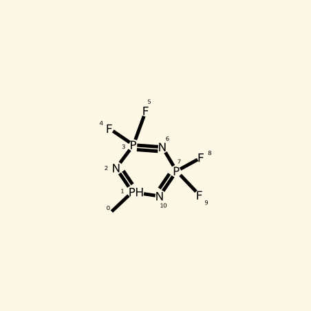 C[PH]1=NP(F)(F)=NP(F)(F)=N1